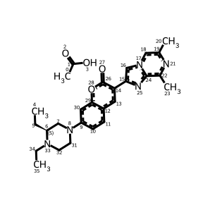 CC(=O)O.CC[C@H]1CN(c2ccc3cc(-c4cn5cc(C)nc(C)c5n4)c(=O)oc3c2)CCN1CC